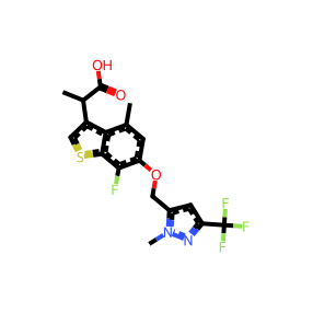 Cc1cc(OCc2cc(C(F)(F)F)nn2C)c(F)c2scc(C(C)C(=O)O)c12